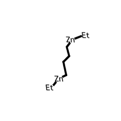 C[CH2][Zn][CH2]CC[CH2][Zn][CH2]C